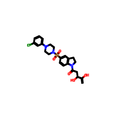 C=C(O)C(O)CC(=O)N1CCc2cc(S(=O)(=O)N3CCN(c4cccc(Cl)c4)CC3)ccc21